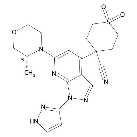 C[C@@H]1COCCN1c1cc(C2(C#N)CCS(=O)(=O)CC2)c2cnn(-c3cc[nH]n3)c2n1